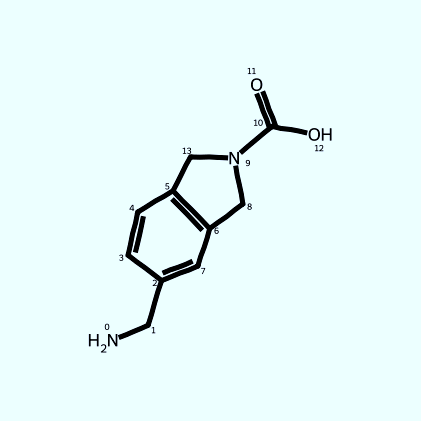 NCc1ccc2c(c1)CN(C(=O)O)C2